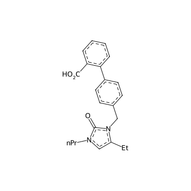 CCCn1cc(CC)n(Cc2ccc(-c3ccccc3C(=O)O)cc2)c1=O